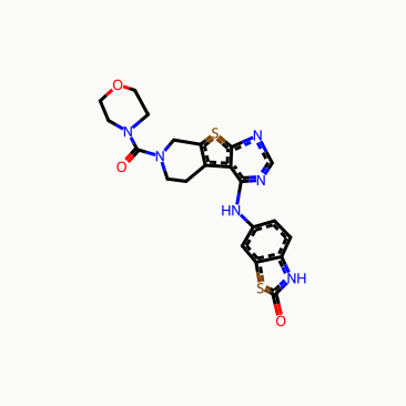 O=C(N1CCOCC1)N1CCc2c(sc3ncnc(Nc4ccc5[nH]c(=O)sc5c4)c23)C1